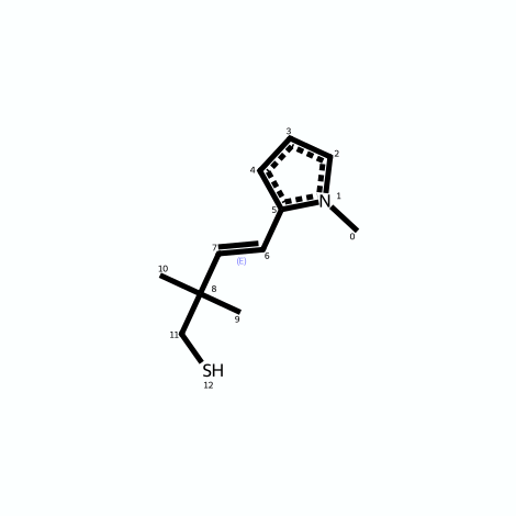 Cn1cccc1/C=C/C(C)(C)CS